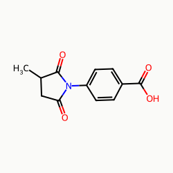 CC1CC(=O)N(c2ccc(C(=O)O)cc2)C1=O